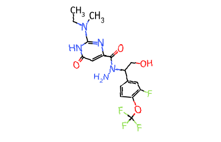 CCN(C)c1nc(C(=O)N(N)C(CO)c2ccc(OC(F)(F)F)c(F)c2)cc(=O)[nH]1